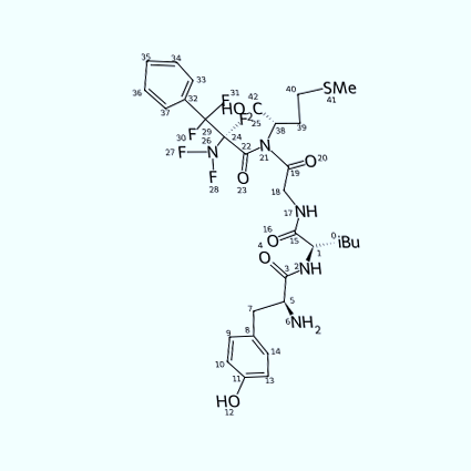 CC[C@@H](C)[C@@H](NC(=O)[C@@H](N)Cc1ccc(O)cc1)C(=O)NCC(=O)N(C(=O)[C@@](F)(N(F)F)C(F)(F)c1ccccc1)[C@@H](CCSC)C(=O)O